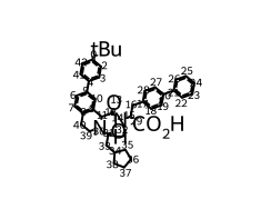 CC(C)(C)c1ccc(-c2ccc3c(c2)C(C(=O)N[C@@H](Cc2ccc(-c4ccccc4)cc2)C(=O)O)N(C(=O)CC2CCCC2)CC3)cc1